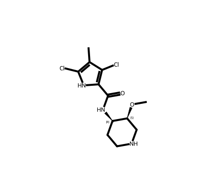 CO[C@H]1CNCC[C@H]1NC(=O)c1[nH]c(Cl)c(C)c1Cl